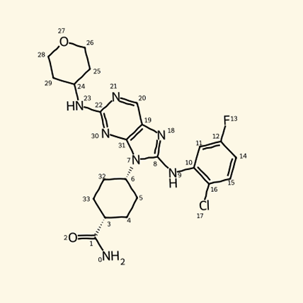 NC(=O)[C@H]1CC[C@@H](n2c(Nc3cc(F)ccc3Cl)nc3cnc(NC4CCOCC4)nc32)CC1